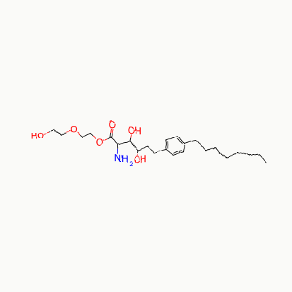 CCCCCCCCc1ccc(CCC(O)C(O)C(N)C(=O)OCCOCCO)cc1